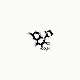 O=C(O)c1c(Cl)n(-c2nccs2)c2ncc(F)cc2c1=O